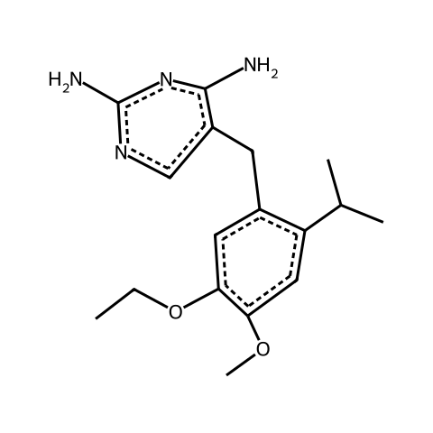 CCOc1cc(Cc2cnc(N)nc2N)c(C(C)C)cc1OC